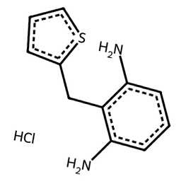 Cl.Nc1cccc(N)c1Cc1cccs1